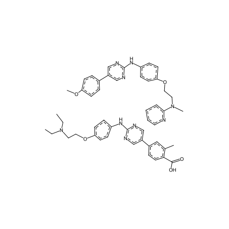 CCN(CC)CCOc1ccc(Nc2ncc(-c3ccc(C(=O)O)c(C)c3)cn2)cc1.COc1ccc(-c2cnc(Nc3ccc(OCCN(C)c4ccccn4)cc3)nc2)cc1